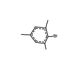 Cc1[c]c(C)c(Br)c(C)c1